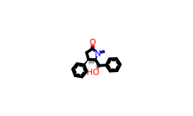 CN1C(=O)C[C@H](c2ccccc2)[C@@H]1[C@H](O)c1ccccc1